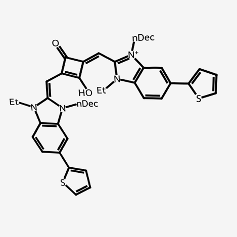 CCCCCCCCCCN1/C(=C\C2=C(O)C(=C\c3n(CC)c4ccc(-c5cccs5)cc4[n+]3CCCCCCCCCC)/C2=O)N(CC)c2ccc(-c3cccs3)cc21